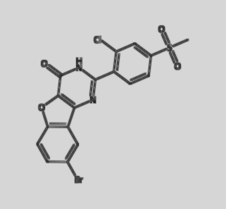 CS(=O)(=O)c1ccc(-c2nc3c(oc4ccc(Br)cc43)c(=O)[nH]2)c(Cl)c1